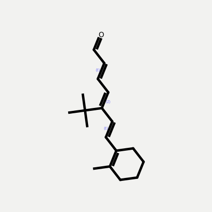 CC1=C(/C=C/C(=C/C=C/C=O)C(C)(C)C)CCCC1